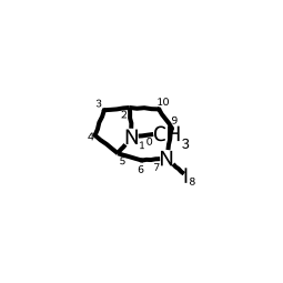 CN1C2CCC1CN(I)CC2